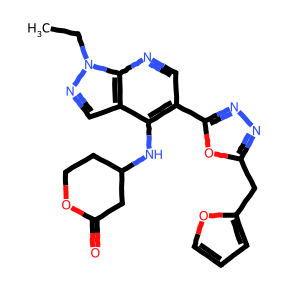 CCn1ncc2c(NC3CCOC(=O)C3)c(-c3nnc(Cc4ccco4)o3)cnc21